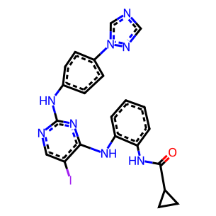 O=C(Nc1ccccc1Nc1nc(Nc2ccc(-n3cncn3)cc2)ncc1I)C1CC1